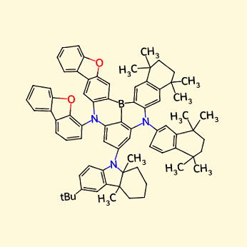 CC(C)(C)c1ccc2c(c1)C1(C)CCCCC1(C)N2c1cc2c3c(c1)N(c1cccc4c1oc1ccccc14)c1cc4c(cc1B3c1cc3c(cc1N2c1ccc2c(c1)C(C)(C)CCC2(C)C)C(C)(C)CCC3(C)C)oc1ccccc14